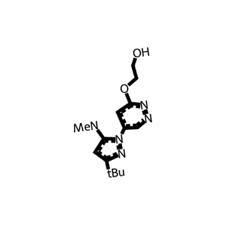 CNc1cc(C(C)(C)C)nn1-c1cnnc(OCCO)c1